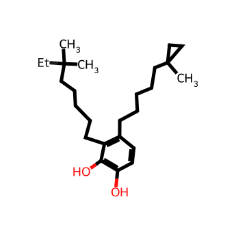 CCC(C)(C)CCCCCc1c(CCCCCC2(C)CC2)ccc(O)c1O